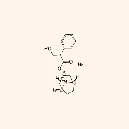 CN1[C@@H]2CC[C@H]1C[C@@H](OC(=O)C(CO)c1ccccc1)C2.F